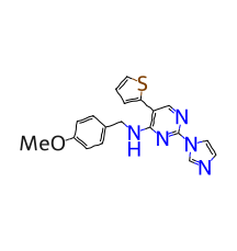 COc1ccc(CNc2nc(-n3ccnc3)ncc2-c2cccs2)cc1